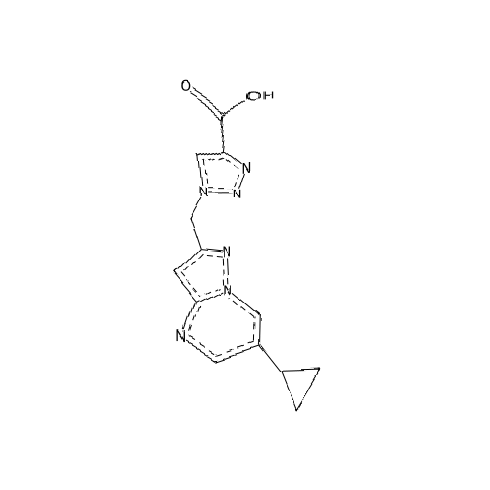 O=C(O)c1cn(Cc2cc3ncc(C4CC4)cn3n2)nn1